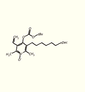 C=Cc1c(OC(=O)OC(C)(C)C)c(CCCCCCCCCCCCCCCC)c(C)[n+]([O-])c1C